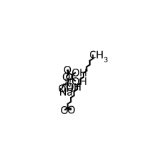 CCCCCCCCCCCCCCCCCC(=O)[O-].O=C1O[C@H]([C@@H](O)CO)C(O)=C1O.[Na+]